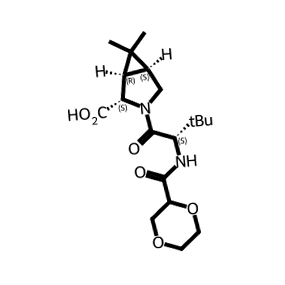 CC(C)(C)[C@H](NC(=O)C1COCCO1)C(=O)N1C[C@H]2[C@@H]([C@H]1C(=O)O)C2(C)C